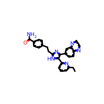 CCc1cccc(-c2[nH]c(CCc3ccc(C(N)=O)cc3)nc2-c2ccc3nccnc3c2)n1